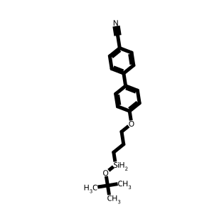 CC(C)(C)O[SiH2]CCCOc1ccc(-c2ccc(C#N)cc2)cc1